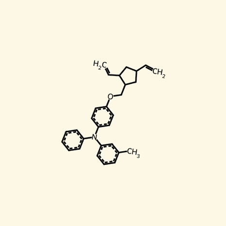 C=CC1CC(C=C)C(COc2ccc(N(c3ccccc3)c3cccc(C)c3)cc2)C1